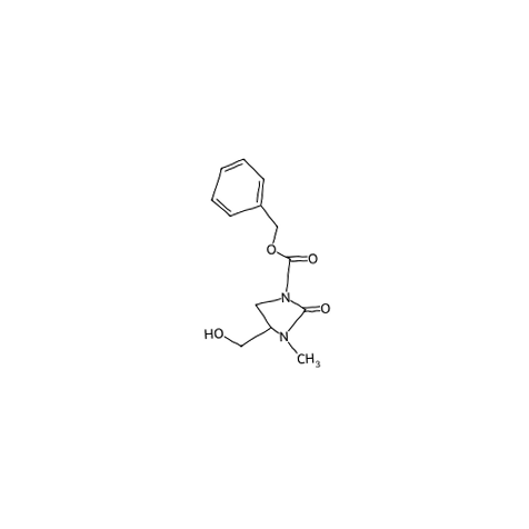 CN1C(=O)N(C(=O)OCc2ccccc2)CC1CO